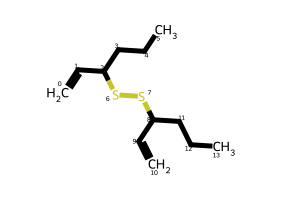 C=CC(CCC)SSC(C=C)CCC